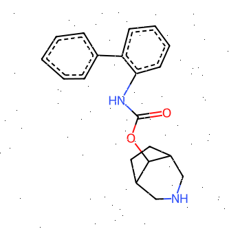 O=C(Nc1ccccc1-c1ccccc1)OC1C2CCC1CNC2